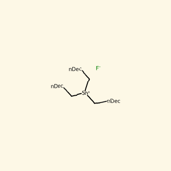 CCCCCCCCCC[CH2][Sn+]([CH2]CCCCCCCCCC)[CH2]CCCCCCCCCC.[F-]